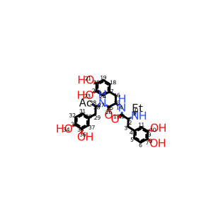 CCNC(Cc1ccc(O)c(O)c1)C(=O)NC(Cc1ccc(O)c(O)c1)C(=O)NC(Cc1ccc(O)c(O)c1)C(C)=O